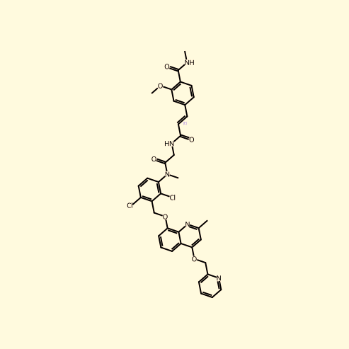 CNC(=O)c1ccc(/C=C/C(=O)NCC(=O)N(C)c2ccc(Cl)c(COc3cccc4c(OCc5ccccn5)cc(C)nc34)c2Cl)cc1OC